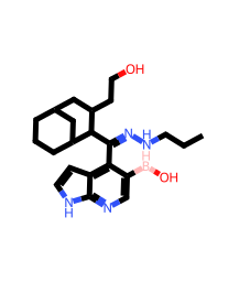 CCCN/N=C(\c1c(BO)cnc2[nH]ccc12)C1C(CCO)CC2CCCC1C2